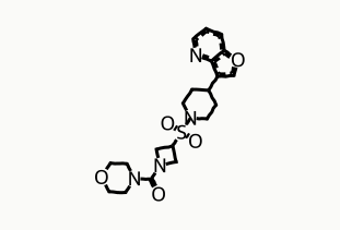 O=C(N1CCOCC1)N1CC(S(=O)(=O)N2CCC(c3coc4cccnc34)CC2)C1